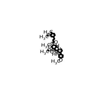 COC(=O)[C@H]1[C@H]2C[C@@H]3c4[nH]c5cc(OC)ccc5c4CCN3C[C@H]2C[C@@H](OC(=O)/C=C/c2ccc(C)c(OC)c2)[C@@H]1OC